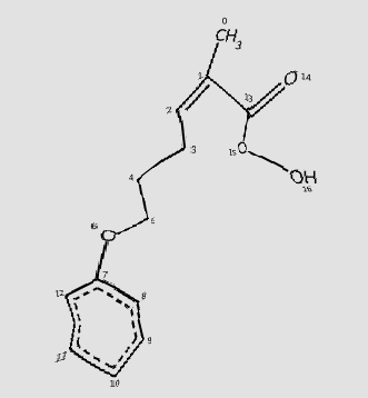 CC(=CCCCOc1ccccc1)C(=O)OO